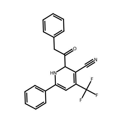 N#CC1=C(C(F)(F)F)C=C(c2ccccc2)NC1C(=O)Cc1ccccc1